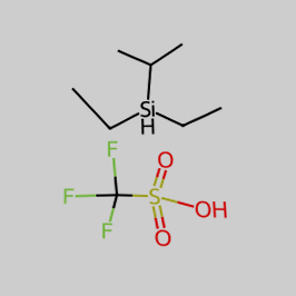 CC[SiH](CC)C(C)C.O=S(=O)(O)C(F)(F)F